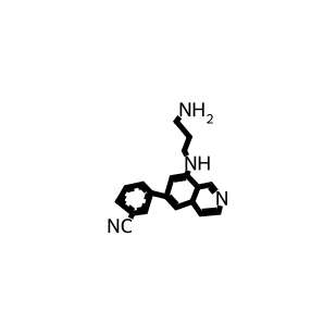 N#Cc1cccc(C2=CC3C=CN=CC3C(NCCCN)=C2)c1